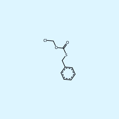 O=C(OCCl)SCc1ccccc1